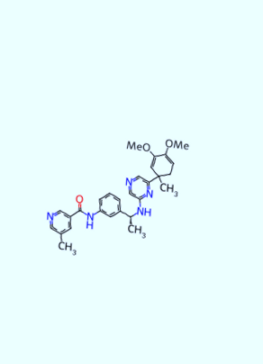 COC1=CCC(C)(c2cncc(N[C@@H](C)c3cccc(NC(=O)c4cncc(C)c4)c3)n2)C=C1OC